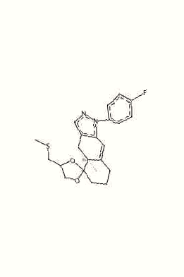 CSCC1COC2(CCCC3=Cc4c(cnn4-c4ccc(F)cc4)C[C@@]32C)O1